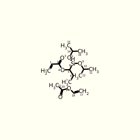 C=CC(=O)OC(CC)[SiH](OC(C)C)OC(C)C.C=COC(C)=O